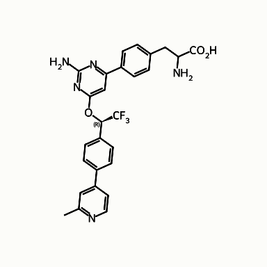 Cc1cc(-c2ccc([C@@H](Oc3cc(-c4ccc(CC(N)C(=O)O)cc4)nc(N)n3)C(F)(F)F)cc2)ccn1